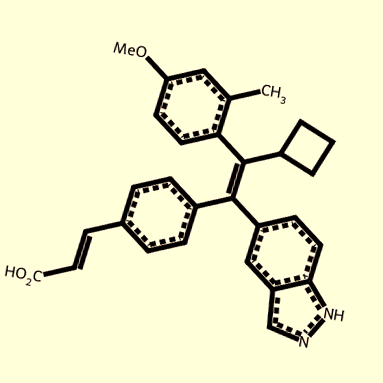 COc1ccc(/C(=C(\c2ccc(/C=C/C(=O)O)cc2)c2ccc3[nH]ncc3c2)C2CCC2)c(C)c1